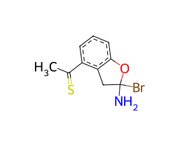 CC(=S)c1cccc2c1CC(N)(Br)O2